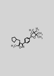 Cc1onc(-c2ccc(B3OC(C)(C)C(C)(C)O3)cc2)c1C[C]1CCCC1